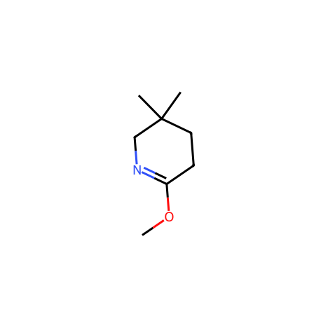 COC1=NCC(C)(C)CC1